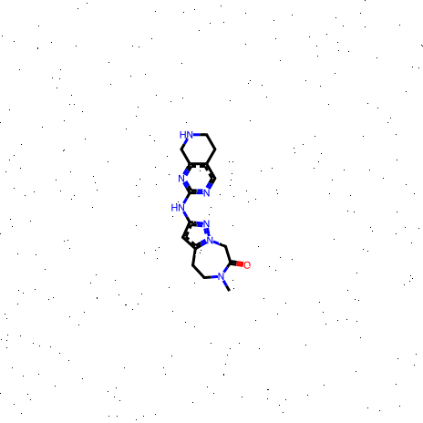 CN1CCc2cc(Nc3ncc4c(n3)CNCC4)nn2CC1=O